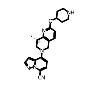 C[C@H]1CN(c2ccc(C#N)n3nccc23)Cc2ccc(OC3CCNCC3)nc21